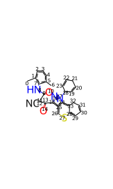 Cc1cccc(C)c1NC(=O)C(C#N)C(=O)c1nn(C2C=CCC=C2)c2c1=CSC1=CC=CCC=21